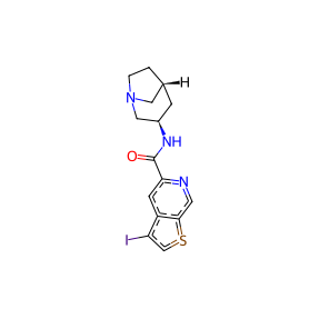 O=C(N[C@@H]1C[C@H]2CCN(C2)C1)c1cc2c(I)csc2cn1